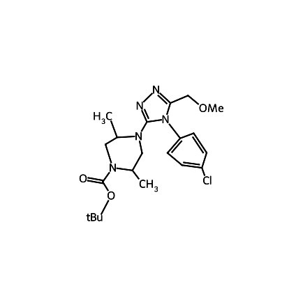 COCc1nnc(N2CC(C)N(C(=O)OC(C)(C)C)CC2C)n1-c1ccc(Cl)cc1